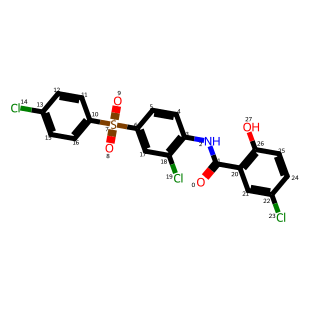 O=C(Nc1ccc(S(=O)(=O)c2ccc(Cl)cc2)cc1Cl)c1cc(Cl)ccc1O